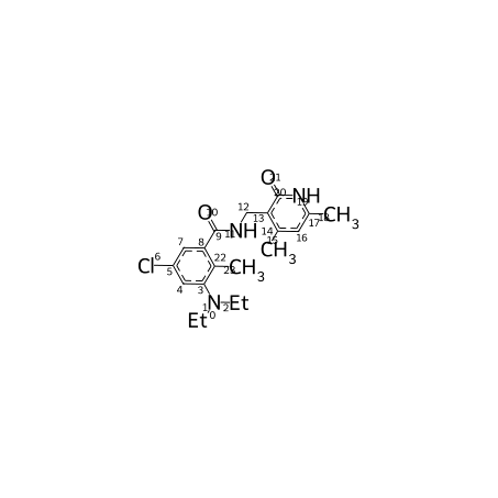 CCN(CC)c1cc(Cl)cc(C(=O)NCc2c(C)cc(C)[nH]c2=O)c1C